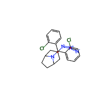 [N-]=[N+]=NC1CC2CCC(C1)N2C(c1ccccc1Cl)c1ccccc1Cl